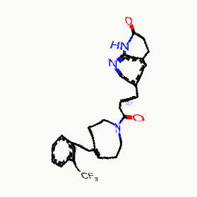 O=C1CCc2cc(/C=C/C(=O)N3CCC=C(c4ccccc4C(F)(F)F)CC3)cnc2N1